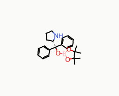 CC1(C)OB(OC(c2ccccc2)(c2ccccc2)[C@@H]2CCCN2)OC1(C)C